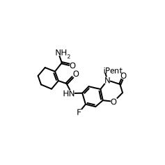 CCCC(C)N1C(=O)COc2cc(F)c(NC(=O)C3=C(C(N)=O)CCCC3)cc21